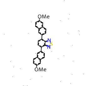 COc1ccc2cc(-c3ccc(-c4ccc5cc(OC)ccc5c4)c4nsnc34)ccc2c1